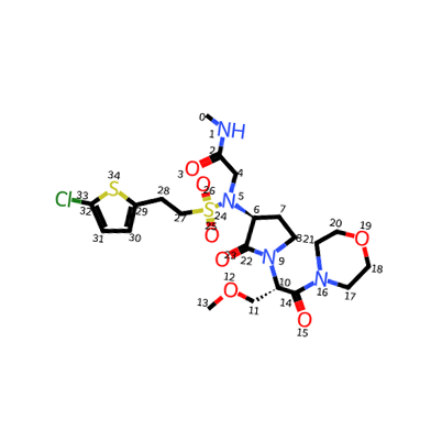 CNC(=O)CN([C@H]1CCN([C@@H](COC)C(=O)N2CCOCC2)C1=O)S(=O)(=O)CCc1ccc(Cl)s1